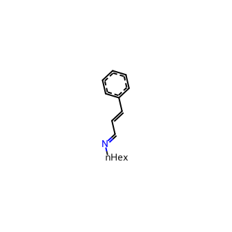 CCCCCCN=CC=Cc1ccccc1